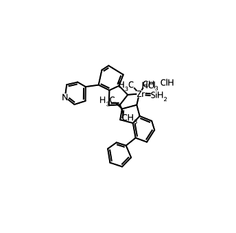 CC1=Cc2c(-c3ccccc3)cccc2[CH]1[Zr]([CH3])([CH3])(=[SiH2])[CH]1C(C)=Cc2c(-c3ccncc3)cccc21.Cl.Cl